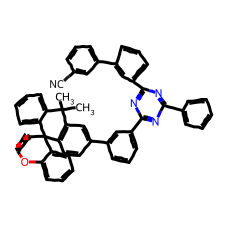 CC1(C)c2ccccc2C2(c3ccccc3Oc3ccccc32)c2ccc(-c3cccc(-c4nc(-c5ccccc5)nc(-c5cccc(-c6cccc(C#N)c6)c5)n4)c3)cc21